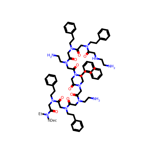 CCCCCCCCCCN(CC)C(=O)CN(CCc1ccccc1)C(=O)CN(CCc1ccccc1)C(=O)CN(CCN)C(=O)CN(CCc1ccccc1)C(=O)CN(CCc1ccccc1)C(=O)CN(CCN)C(=O)CN(CCc1ccccc1)C(=O)CN(CCc1ccccc1)C(=O)CNCCN